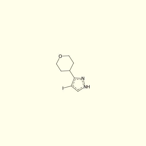 Ic1c[nH]nc1C1CCOCC1